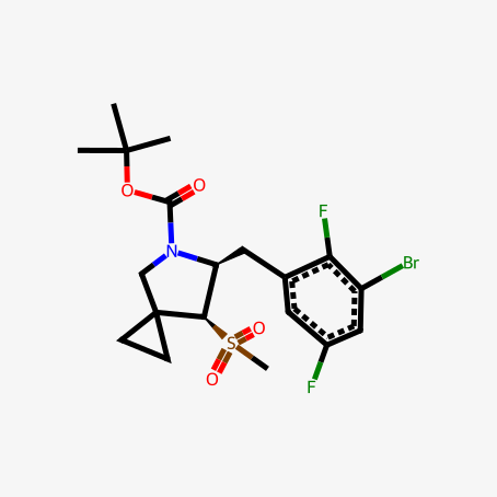 CC(C)(C)OC(=O)N1CC2(CC2)[C@H](S(C)(=O)=O)[C@@H]1Cc1cc(F)cc(Br)c1F